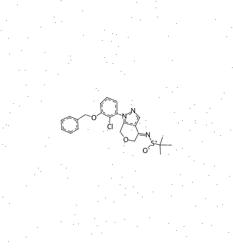 CC(C)(C)[S+]([O-])N=C1COCc2c1cnn2-c1cccc(OCc2ccccc2)c1Cl